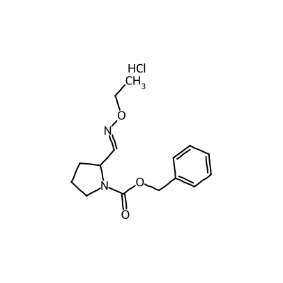 CCON=CC1CCCN1C(=O)OCc1ccccc1.Cl